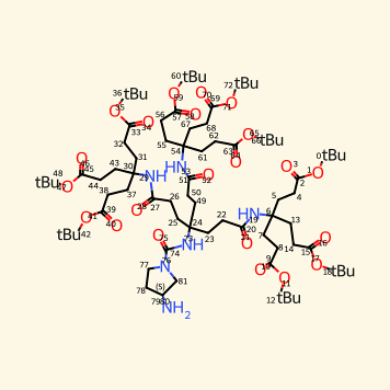 CC(C)(C)OC(=O)CCC(CCC(=O)OC(C)(C)C)(CCC(=O)OC(C)(C)C)NC(=O)CCC(CCC(=O)NC(CCC(=O)OC(C)(C)C)(CCC(=O)OC(C)(C)C)CCC(=O)OC(C)(C)C)(CCC(=O)NC(CCC(=O)OC(C)(C)C)(CCC(=O)OC(C)(C)C)CCC(=O)OC(C)(C)C)NC(=O)N1CC[C@H](N)C1